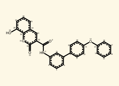 O=C(Nc1cccc(-c2ccc(Oc3ccccc3)cc2)c1)c1cc2cccc(O)c2oc1=O